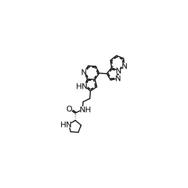 O=C(NCCc1cc2c(-c3cnn4ncccc34)ccnc2[nH]1)[C@@H]1CCCN1